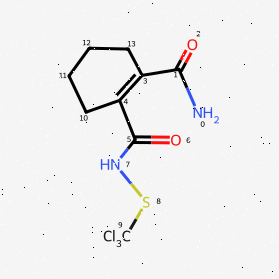 NC(=O)C1=C(C(=O)NSC(Cl)(Cl)Cl)CCCC1